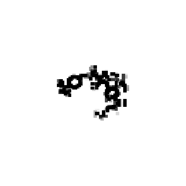 CCn1nc(C(=O)NCC2CCC(S(C)(=O)=O)CC2)c(Cl)c1-c1cnc(N[C@H](C)CC(F)(F)F)cc1OC(F)F